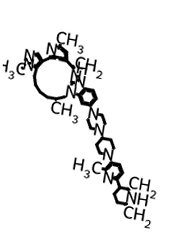 C=C1CCC(c2ccc(N3CCC(N4CCN(c5ccc6c(c5)N5C[C@H](C)CCCCc7c(cnn7C)-c7cc(cc(C)n7)C(=C)/N=C/5N6)CC4)CC3)c(C)n2)C(=C)N1